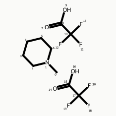 CN1CCCCC1.O=C(O)C(F)(F)F.O=C(O)C(F)(F)F